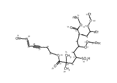 CCCCCCCCCCOOC(CC(CC(CC)OOCC)C(=O)OCCCC)CC(CC(C)(C)C(=O)OCCC#C/C=N/N=O)S(=O)(=O)O